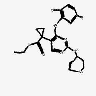 CCOC(=O)C1(c2cnc(NC3CCNCC3)nc2Nc2cc(F)ccc2Cl)CC1